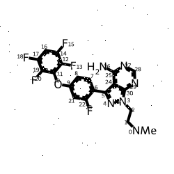 CNCCn1nc(-c2ccc(Oc3c(F)c(F)cc(F)c3F)cc2F)c2c(N)ncnc21